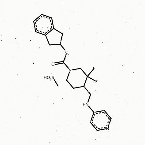 CS(=O)(=O)O.O=C(OC1Cc2ccccc2C1)N1CCC(CNc2ccncc2)C(F)(F)C1